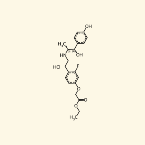 CCOC(=O)COc1ccc(CCN[C@@H](C)[C@H](O)c2ccc(O)cc2)c(F)c1.Cl